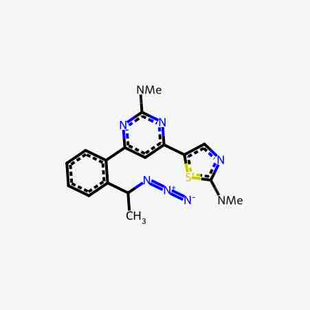 CNc1nc(-c2cnc(NC)s2)cc(-c2ccccc2C(C)N=[N+]=[N-])n1